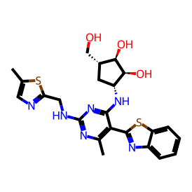 Cc1cnc(CNc2nc(C)c(-c3nc4ccccc4s3)c(N[C@@H]3C[C@H](CO)[C@@H](O)[C@H]3O)n2)s1